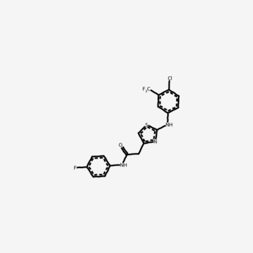 O=C(Cc1csc(Nc2ccc(Cl)c(C(F)(F)F)c2)n1)Nc1ccc(F)cc1